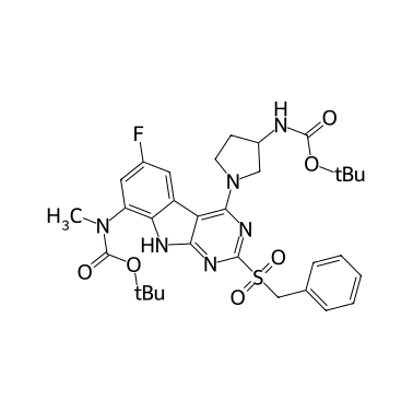 CN(C(=O)OC(C)(C)C)c1cc(F)cc2c1[nH]c1nc(S(=O)(=O)Cc3ccccc3)nc(N3CCC(NC(=O)OC(C)(C)C)C3)c12